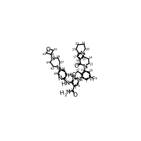 NC(=O)c1cn(-c2cc(F)cc(N3CCc4c(cc5n4CCCC5)C3=O)c2CO)nc1Nc1ccc(N2CCN(C3COC3)CC2)cn1